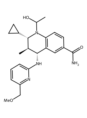 COCc1cccc(N[C@H]2c3cc(C(N)=O)ccc3N(C(C)O)[C@@H](C3CC3)[C@@H]2C)n1